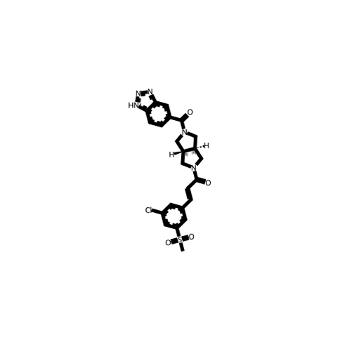 CS(=O)(=O)c1cc(Cl)cc(C=CC(=O)N2C[C@@H]3CN(C(=O)c4ccc5[nH]nnc5c4)C[C@H]3C2)c1